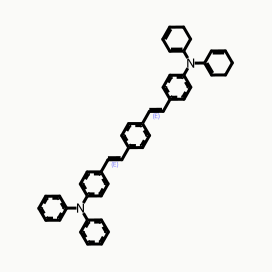 C1=CCCC(N(C2=CCCC=C2)c2ccc(/C=C/c3ccc(/C=C/c4ccc(N(c5ccccc5)c5ccccc5)cc4)cc3)cc2)=C1